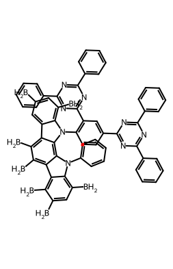 Bc1cc(B)c2c(c1)c1c(B)c(B)c3c4c(B)c(B)cc(B)c4n(-c4ccccc4)c3c1n2-c1ccc(-c2nc(-c3ccccc3)nc(-c3ccccc3)n2)cc1-c1nc(-c2ccccc2)nc(-c2ccccc2)n1